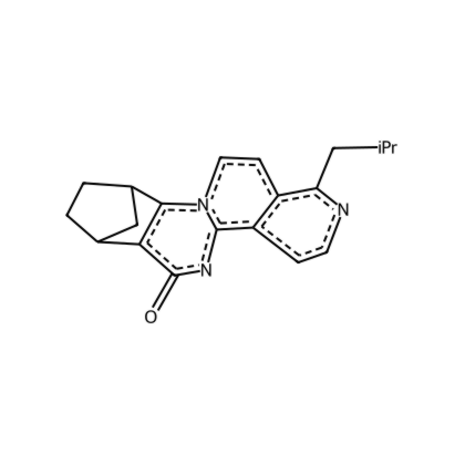 CC(C)Cc1nccc2c1ccn1c3c(c(=O)nc21)C1CCC3C1